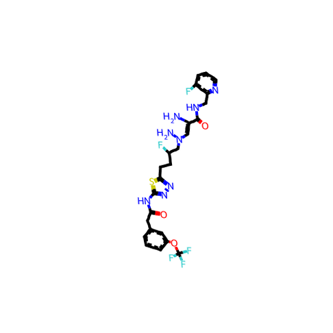 N/C(=C\N(N)CC(F)CCc1nnc(NC(=O)Cc2cccc(OC(F)(F)F)c2)s1)C(=O)NCc1ncccc1F